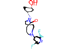 O=C1N([C@H]2CC[C@@H](O)CC2)CCC12CCN(c1cc(F)cnc1F)CC2